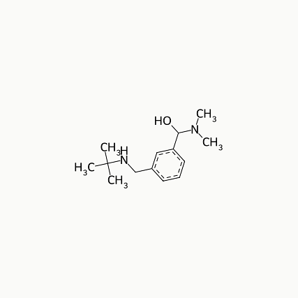 CN(C)C(O)c1cccc(CNC(C)(C)C)c1